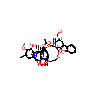 COc1c(C)cc2c(c1O)[C@H]1[C@@H]3[C@@H]4SC[C@]5(N[C@H](CO)Cc6c5oc5ccccc65)C(=O)OCC[C@@H](c5c6c(c(C)c(OC(C)=O)c54)OCO6)N3C(O)(C2)CN1C